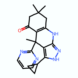 CC1(C)CC(=O)C2=C(C1)Nc1n[nH]c(C3CC3)c1C2(C)c1ncccn1